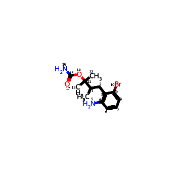 CC(Cc1c(N)cccc1Br)C(C)(C)OC(N)=O